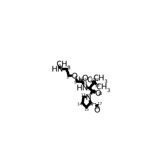 CNCCOCC(=O)NC(C(=O)N1CCC[C@H]1C=O)C(C)(C)C